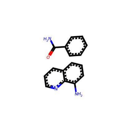 NC(=O)c1ccccc1.Nc1cccc2cccnc12